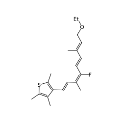 CCOC/C=C(C)/C=C/C(F)=C(C)\C=C\c1c(C)sc(C)c1C